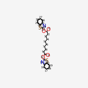 O=C(CCCCCCCCC(=O)Oc1nc2ccccc2s1)Oc1nc2ccccc2s1